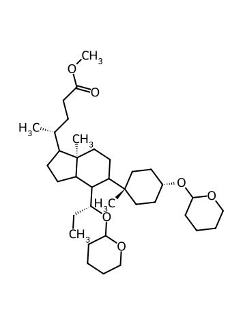 CC[C@@H](OC1CCCCO1)C1C2CCC([C@H](C)CCC(=O)OC)[C@@]2(C)CCC1[C@]1(C)CC[C@H](OC2CCCCO2)CC1